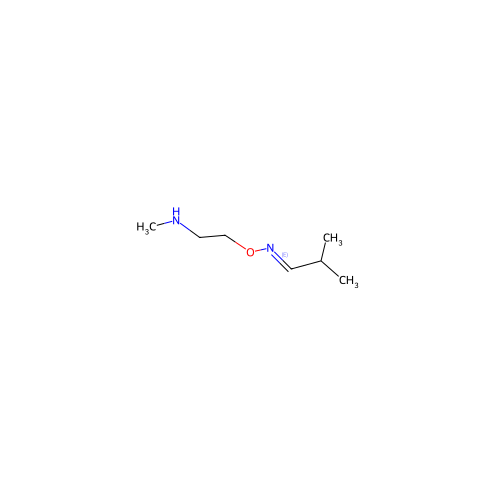 CNCCO/N=C/C(C)C